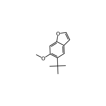 COc1cc2occc2cc1C(C)(C)C